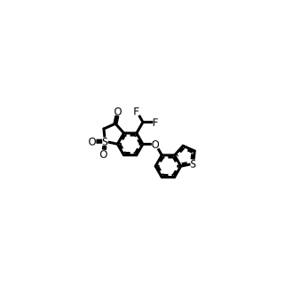 O=C1CS(=O)(=O)c2ccc(Oc3cccc4sccc34)c(C(F)F)c21